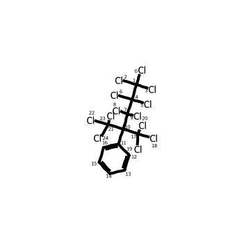 ClC(Cl)(Cl)C(Cl)(Cl)C(Cl)(Cl)C(c1[c]cccc1)(C(Cl)(Cl)Cl)C(Cl)(Cl)Cl